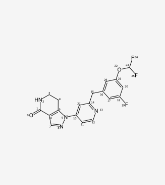 O=C1NCCc2c1cnn2-c1ccnc(Cc2cc(F)cc(OC(F)F)c2)c1